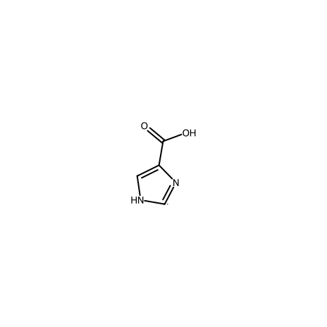 O=C(O)c1c[nH][c]n1